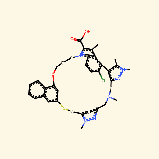 Cc1c(C(=O)O)n2c3ccc(Cl)c(c13)-c1c(nn(C)c1C)CN(C)Cc1cc(n(C)n1)CSc1cc(c3ccccc3c1)OCCC2